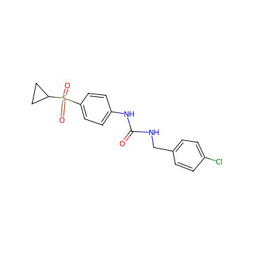 O=C(NCc1ccc(Cl)cc1)Nc1ccc(S(=O)(=O)C2CC2)cc1